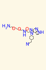 N#CC[C@H]1CC[C@H](n2c(CC(=O)NCCOCCOCCN)nc3cnc4[nH]ccc4c32)CC1